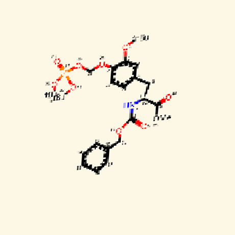 CCCCOc1cc(C[C@H](NC(=O)OCc2ccccc2)C(=O)OC)ccc1OCOP(=O)(OC(C)(C)C)OC(C)(C)C